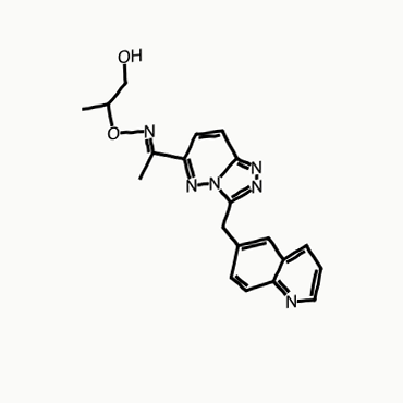 C/C(=N\OC(C)CO)c1ccc2nnc(Cc3ccc4ncccc4c3)n2n1